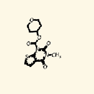 Cn1c(=O)c2ccsc2n(C(=O)OC2CCOCC2)c1=O